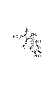 C[C@@H](Oc1ccon1)[C@H]1C(=O)N[C@@H]1[C@@H](C)C(=O)C(=[N+]=[N-])C(=O)O